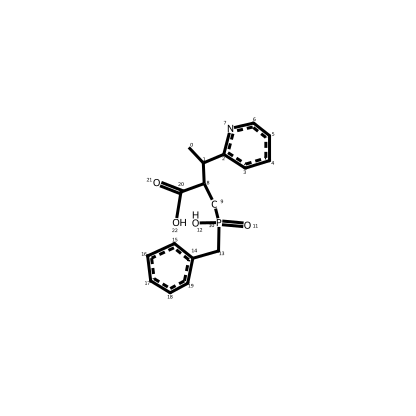 CC(c1ccccn1)C(CP(=O)(O)Cc1ccccc1)C(=O)O